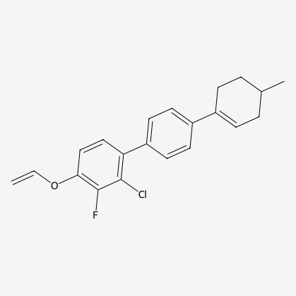 C=COc1ccc(-c2ccc(C3=CCC(C)CC3)cc2)c(Cl)c1F